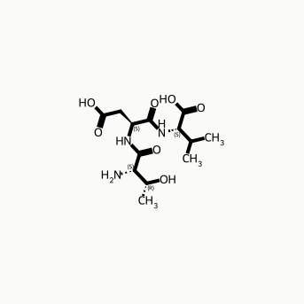 CC(C)[C@H](NC(=O)[C@H](CC(=O)O)NC(=O)[C@@H](N)[C@@H](C)O)C(=O)O